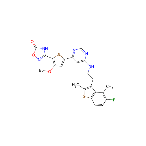 CCOc1cc(-c2cc(NCCc3c(C)sc4ccc(F)c(C)c34)ncn2)sc1-c1noc(=O)[nH]1